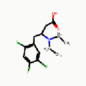 C[SiH2]N([SiH2]C)C(CC(=O)O)Cc1cc(F)c(F)cc1F